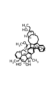 CC[C@]1(O)C[C@H]2CN(CCc3c([nH]c4ccccc34)[C@@](C(=O)OC)(c3cc4c(cc3OC)N(C)[C@H]3[C@H](O)[C@H](O)[C@]5(CC)C=CCN6CC[C@]43C65)C2)C1